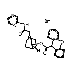 O=C(C[N+]12CCC(CC1)[C@@H](OC(=O)C1c3ccccc3Oc3ccccc31)C2)Nc1cnccn1.[Br-]